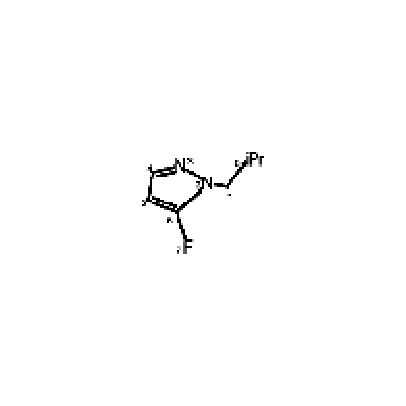 CC(C)Cn1nccc1F